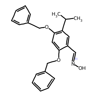 CC(C)c1cc(/C=N/O)c(OCc2ccccc2)cc1OCc1ccccc1